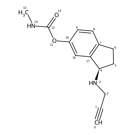 C#CCN[C@@H]1CCc2ccc(OC(=O)NC)cc21